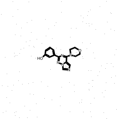 Oc1cccc(-c2nc(N3CCOCC3)c3cncn3n2)c1